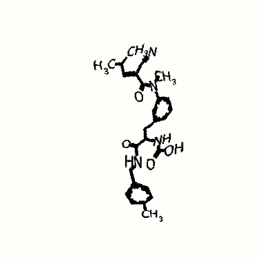 Cc1ccc(CNC(=O)C(Cc2cccc(N(C)C(=O)C(C#N)=CC(C)C)c2)NC(=O)O)cc1